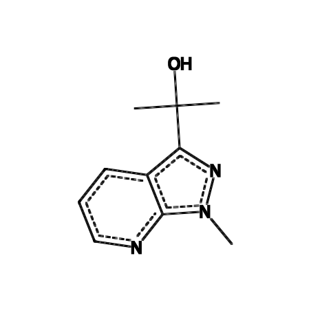 Cn1nc(C(C)(C)O)c2cccnc21